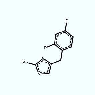 CC(C)c1ncc(Cc2ccc(F)cc2F)s1